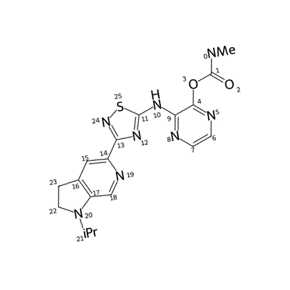 CNC(=O)Oc1nccnc1Nc1nc(-c2cc3c(cn2)N(C(C)C)CC3)ns1